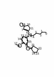 CCCCCN(C1=CC(=O)CC1)c1ccc(OC)c(OC2CCCC2)c1